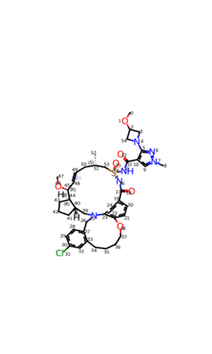 COC1CN(c2nn(C)cc2C(=O)NS2(=O)=NC(=O)c3ccc4c(c3)N(Cc3ccc(Cl)cc3CCCCO4)C[C@@H]3CCC[C@H]3[C@@H](OC)/C=C/C[C@H](C)C2)C1